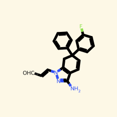 Nc1nn(C=CC=O)c2c1C=CC(c1ccccc1)(c1cccc(F)c1)C2